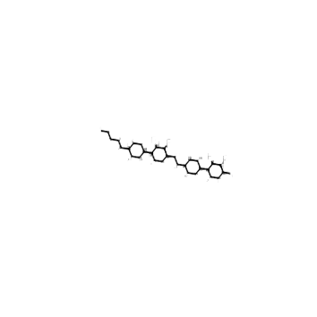 CCCCCC1CCC(C2CCC(CCC3CCC(C4CCC(C)[C@H](F)C4F)CC3)C(F)C2F)CC1